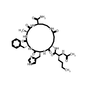 CCCC[C@H](NC(C)=O)C(=O)N[C@H]1CCC(=O)NCCC(C(N)=O)NC(=O)[C@H](C)NC(=O)[C@@H](Cc2ccccc2)NC(=O)[C@H](Cc2c[nH]cn2)NC1=O